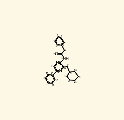 O=C(Cc1ccccc1)Nc1ncc(-c2ccccc2)nc1CC1CCCCC1